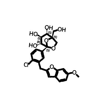 COc1ccc2cc(Cc3cc([C@]45OC[C@](CO)(O4)[C@@H](O)[C@H](O)[C@H]5O)ccc3Cl)oc2c1